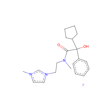 CN(CCn1cc[n+](C)c1)C(=O)C(O)(c1ccccc1)C1CCCC1.[I-]